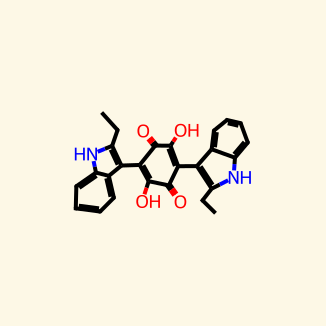 CCc1[nH]c2ccccc2c1C1=C(O)C(=O)C(c2c(CC)[nH]c3ccccc23)=C(O)C1=O